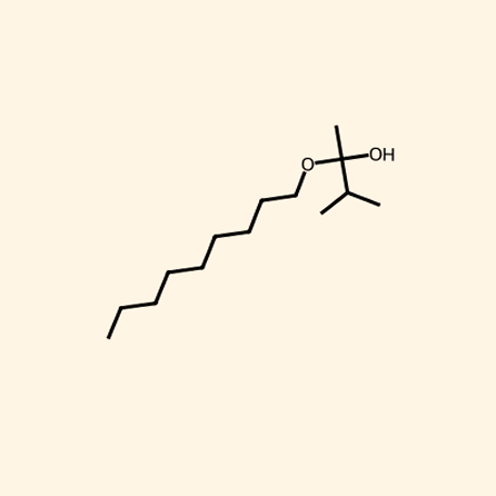 CCCCCCCCCOC(C)(O)C(C)C